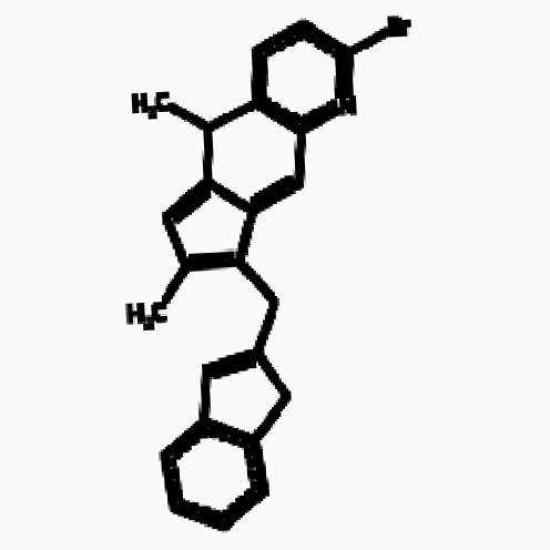 CC1=C(CC2=Cc3ccccc3C2)C2=Cc3nc(Br)ccc3C(C)C2=C1